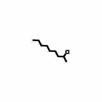 CCCCCCC[C](C)Cl